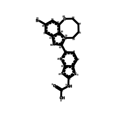 O=C(O)Nc1nc2ccc(-c3nc4cc(Br)cc5c4n3CCCCO5)nc2s1